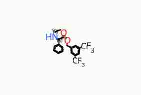 C[C@@H]1CO[C@@H](OCc2cc(C(F)(F)F)cc(C(F)(F)F)c2)[C@@H](c2ccccc2)N1